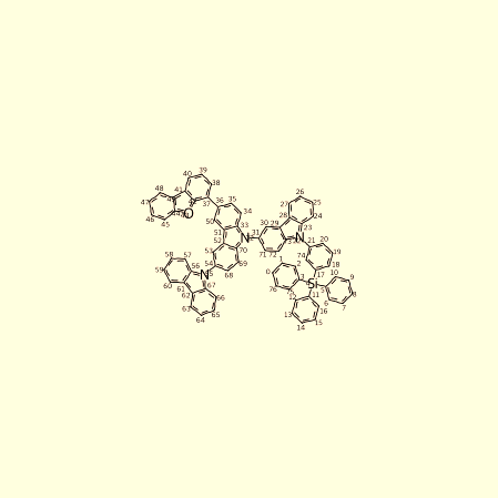 c1ccc([Si](c2ccccc2)(c2ccccc2)c2cccc(-n3c4ccccc4c4cc(-n5c6ccc(-c7cccc8c7oc7ccccc78)cc6c6cc(-n7c8ccccc8c8ccccc87)ccc65)ccc43)c2)cc1